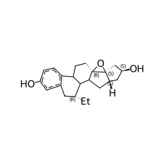 CC[C@@H]1Cc2cc(O)ccc2C2CC[C@]34O[C@]35C[C@@H](O)C[C@@H]5CC4C21